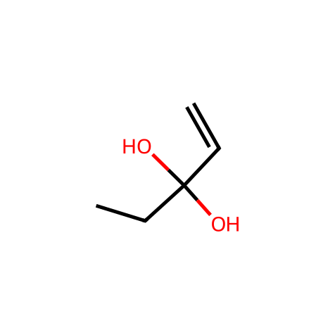 C=CC(O)(O)CC